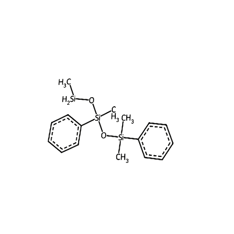 C[SiH2]O[Si](C)(O[Si](C)(C)c1ccccc1)c1ccccc1